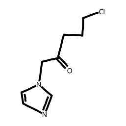 O=C(CCCCl)Cn1ccnc1